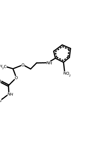 CC(OCCNc1ccccc1[N+](=O)[O-])OC(=O)NC(C)(C)C